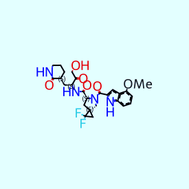 COc1cccc2[nH]c(C(=O)N3C[C@]4(C[C@H]3C(=O)N[C@@H](C[C@@H]3CCCNC3=O)C(=O)CO)CC4(F)F)cc12